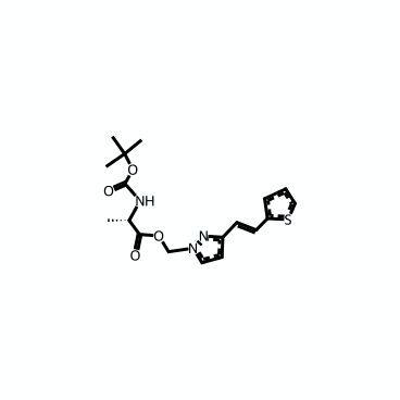 C[C@H](NC(=O)OC(C)(C)C)C(=O)OCn1ccc(/C=C/c2cccs2)n1